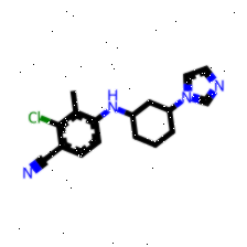 Cc1c(NC2CCCC(n3ccnc3)C2)ccc(C#N)c1Cl